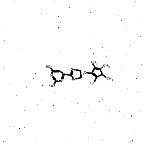 CC1=C(C)C(C)C(C)=C1C.Oc1cc(C2=NCCN2)nc(O)n1